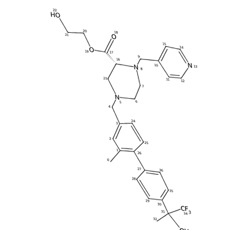 Cc1cc(CN2CCN(Cc3ccncc3)[C@@H](C(=O)OCCO)C2)ccc1-c1ccc(C(C)(O)C(F)(F)F)cc1